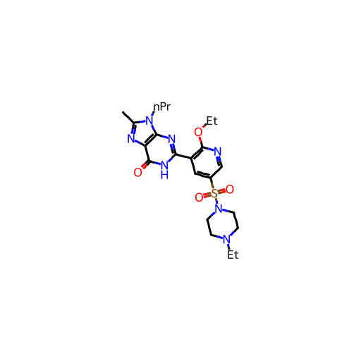 CCCn1c(C)nc2c(=O)[nH]c(-c3cc(S(=O)(=O)N4CCN(CC)CC4)cnc3OCC)nc21